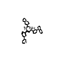 C1=C(C2=NC(c3cccc(-c4cccnc4)c3)=CC(c3cccc(-c4cccc5ccccc45)c3)N2)CCc2ccccc21